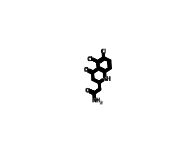 NC(=O)CC1CC(=O)c2c(ccc(Cl)c2Cl)N1